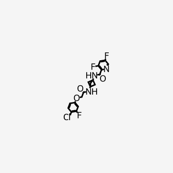 O=C(COc1ccc(Cl)c(F)c1)NC12CC(NC(=O)c3ncc(F)cc3F)(C1)C2